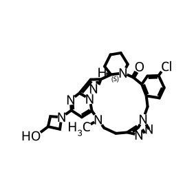 CN1CCc2cn(nn2)Cc2ccc(Cl)cc2C(=O)N2CCCC[C@H]2c2cc3nc(N4CC(O)C4)cc1n3n2